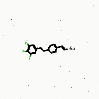 CCCCC=Cc1ccc(CCc2cc(F)c(F)c(F)c2)cc1